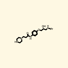 CC(C)NC[C@@H](O)COc1ccc(NC(=O)CCN2CCNCC2)cc1